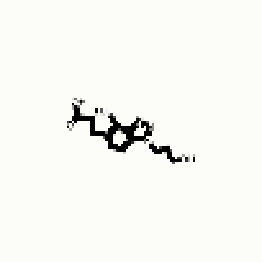 Cc1c(CCC(=O)O)ccc2c1nnn2CCCO